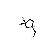 CC[C@@H]1CCS(=O)(=O)C1